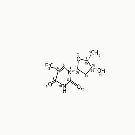 [CH2][C@H]1O[C@@H](n2cc(C(F)(F)F)c(=O)[nH]c2=O)C[C@H]1O